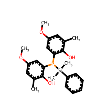 COc1cc(C)c(O)c(P(c2cc(OC)cc(C)c2O)[Si](C)(C)c2ccccc2)c1